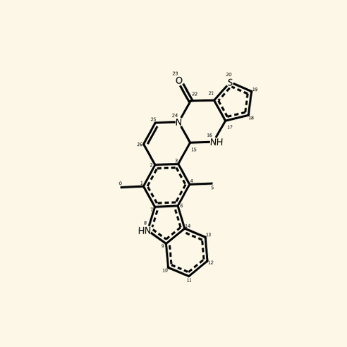 Cc1c2c(c(C)c3c1[nH]c1ccccc13)C1Nc3ccsc3C(=O)N1C=C2